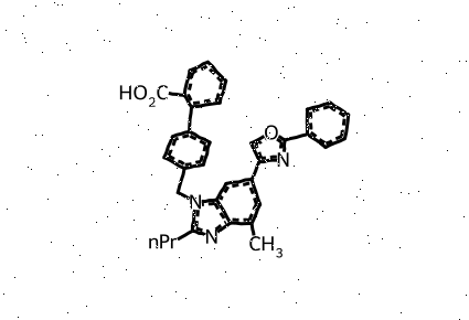 CCCc1nc2c(C)cc(-c3coc(-c4ccccc4)n3)cc2n1Cc1ccc(-c2ccccc2C(=O)O)cc1